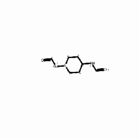 O=CNC1CCN(NC=O)CC1